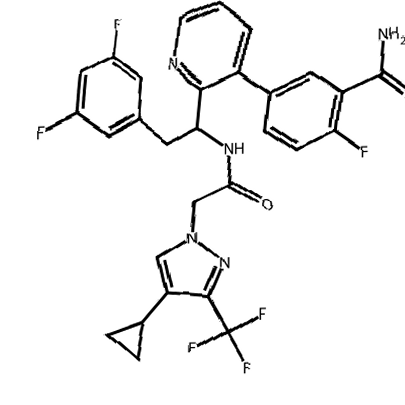 NC(=O)c1cc(-c2cccnc2C(Cc2cc(F)cc(F)c2)NC(=O)Cn2cc(C3CC3)c(C(F)(F)F)n2)ccc1F